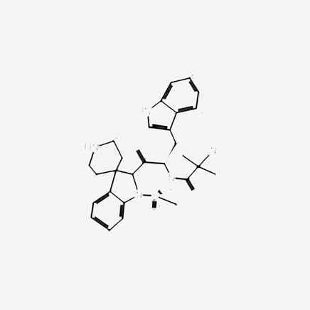 CC(C)(N)C(=O)N[C@H](Cc1c[nH]c2ccccc12)C(=O)C1N(S(C)(=O)=O)c2ccccc2C12CCNCC2